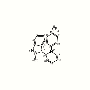 CCc1nc2ccccc2n1C1N=CC=CN1c1ccc(C(F)(F)F)cc1